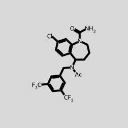 CC(=O)N(Cc1cc(C(F)(F)F)cc(C(F)(F)F)c1)C1CCCN(C(N)=O)c2cc(Cl)ccc21